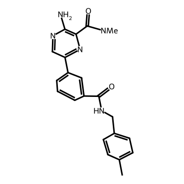 CNC(=O)c1nc(-c2cccc(C(=O)NCc3ccc(C)cc3)c2)cnc1N